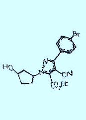 CCOC(=O)c1c(C#N)c(-c2ccc(Br)cc2)nn1C1CCC(O)C1